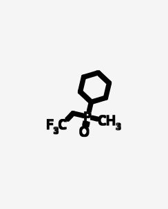 CP(=O)(CC(F)(F)F)C1CCCCC1